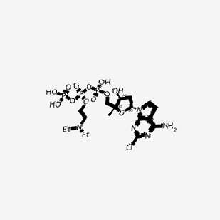 CCN(CC)CCOP(=O)(OP(=O)(O)O)OP(=O)(O)OC[C@@]1(C)O[C@@H](n2ccc3c(N)nc(Cl)nc32)C[C@@H]1O